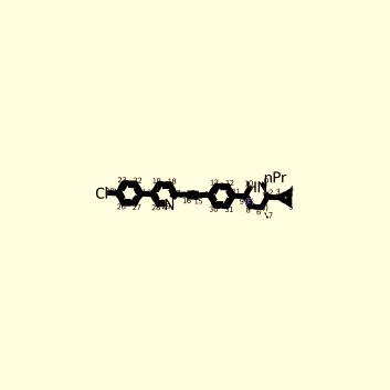 CCCNC(C1CC1)[C@H](C)/C=C(\C)c1ccc(C#Cc2ccc(-c3ccc(Cl)cc3)cn2)cc1